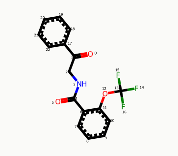 O=C(CNC(=O)c1ccccc1OC(F)(F)F)c1ccccc1